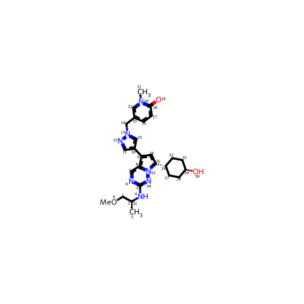 COC[C@H](C)Nc1ncc2c(-c3cnn(Cc4ccc(=O)n(C)c4)c3)cc([C@H]3CC[C@H](O)CC3)n2n1